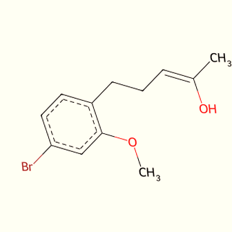 COc1cc(Br)ccc1CC/C=C(/C)O